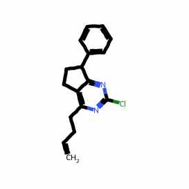 C=CCCc1nc(Cl)nc2c1CCC2c1ccccc1